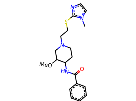 COC1CN(CCSc2nccn2C)CCC1NC(=O)c1ccccc1